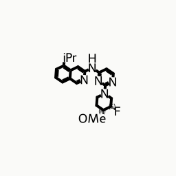 CO[C@@H]1CCN(c2nccc(Nc3cc4c(C(C)C)cccc4cn3)n2)C[C@@H]1F